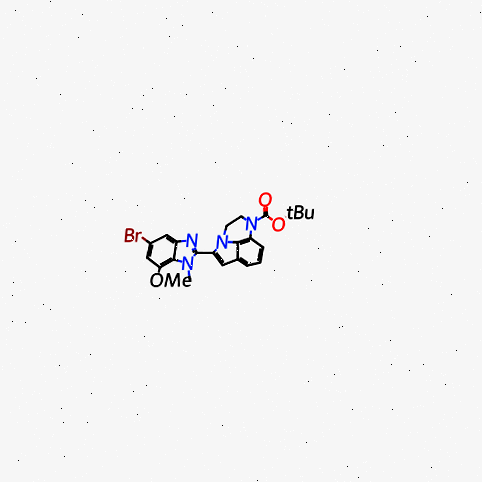 COc1cc(Br)cc2nc(-c3cc4cccc5c4n3CCN5C(=O)OC(C)(C)C)n(C)c12